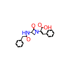 O=C(Cc1ccccc1)NC1CN(C(=Cc2ccccc2)C(=O)O)C1=O